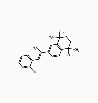 C/C(=C\c1ccccc1Br)c1ccc2c(c1)C(C)(C)CCC2(C)C